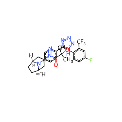 CC(C)(Oc1ccc(F)cc1C(F)(F)F)C(=O)N[C@H]1C[C@H]2CC[C@@H](C1)N2c1ccc(-c2nnn[nH]2)nc1